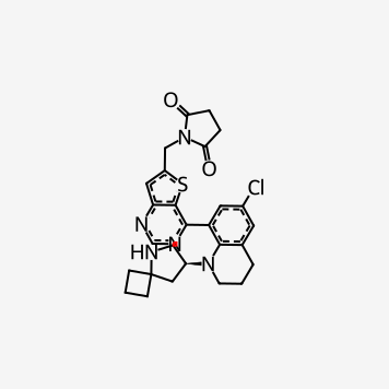 O=C1CCC(=O)N1Cc1cc2ncnc(-c3cc(Cl)cc4c3N([C@@H]3CNC5(CCC5)C3)CCC4)c2s1